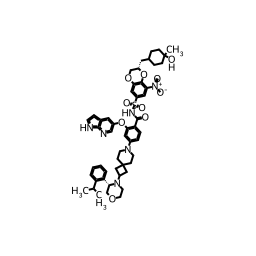 CC(C)c1ccccc1[C@H]1COCCN1C1CC2(CCN(c3ccc(C(=O)NS(=O)(=O)c4cc5c(c([N+](=O)[O-])c4)O[C@@H](CC4CCC(C)(O)CC4)CO5)c(Oc4cnc5[nH]ccc5c4)c3)CC2)C1